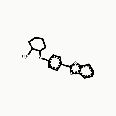 NC1CCCCC1Oc1ccc(-c2nc3ccccc3o2)cc1